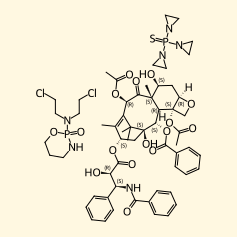 CC(=O)O[C@H]1C(=O)[C@@]2(C)[C@H]([C@H](OC(=O)c3ccccc3)[C@]3(O)C[C@H](OC(=O)[C@H](O)[C@@H](NC(=O)c4ccccc4)c4ccccc4)C(C)=C1C3(C)C)[C@]1(OC(C)=O)CO[C@@H]1C[C@@H]2O.O=P1(N(CCCl)CCCl)NCCCO1.S=P(N1CC1)(N1CC1)N1CC1